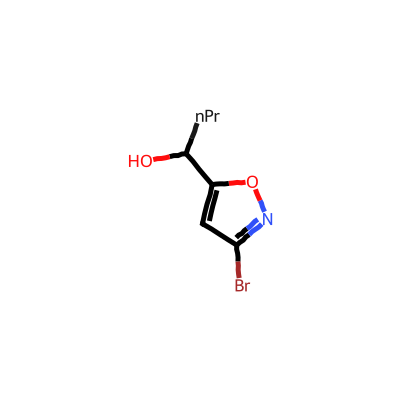 CCCC(O)c1cc(Br)no1